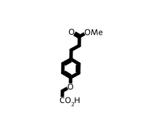 COC(=O)CCc1ccc(OCC(=O)O)cc1